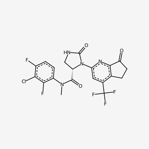 CN(C(=O)[C@@H]1CNC(=O)N1c1cc(C(F)(F)F)c2c(n1)C(=O)CC2)c1ccc(F)c(Cl)c1F